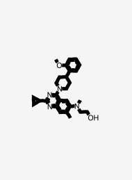 COc1ccccc1C1CCN(c2nc(C3CC3)nc3cc(C)c(N(C)CCO)cc23)CC1